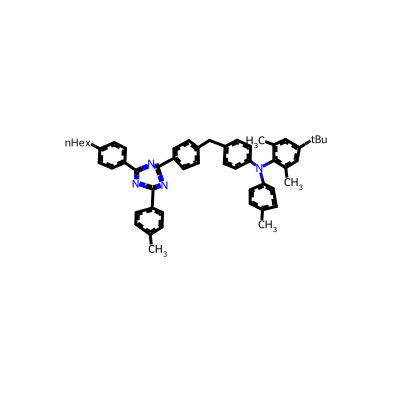 CCCCCCc1ccc(-c2nc(-c3ccc(C)cc3)nc(-c3ccc(Cc4ccc(N(c5ccc(C)cc5)c5c(C)cc(C(C)(C)C)cc5C)cc4)cc3)n2)cc1